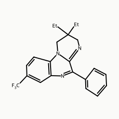 CCC1(CC)CN=C2C(c3ccccc3)=Nc3cc(C(F)(F)F)ccc3N2C1